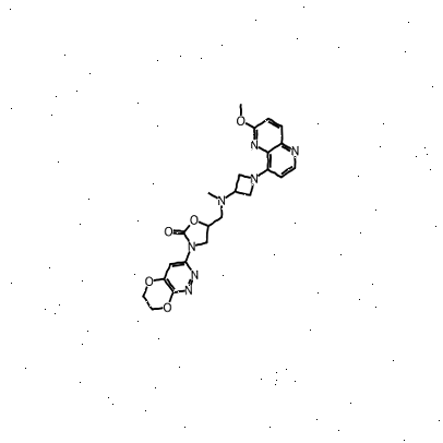 COc1ccc2nccc(N3CC(N(C)CC4CN(c5cc6c(nn5)OCCO6)C(=O)O4)C3)c2n1